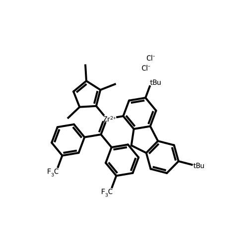 CC1=CC(C)[C]([Zr+2](=[C](c2cccc(C(F)(F)F)c2)c2cccc(C(F)(F)F)c2)[c]2cc(C(C)(C)C)cc3c2Cc2ccc(C(C)(C)C)cc2-3)=C1C.[Cl-].[Cl-]